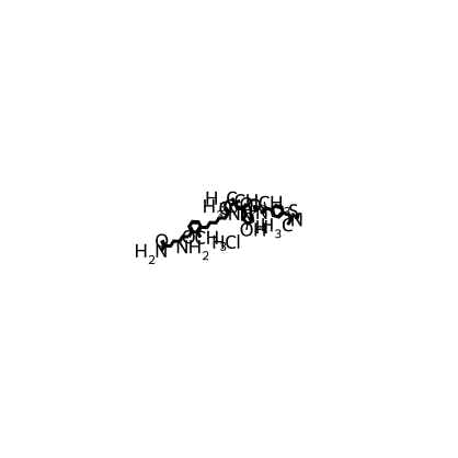 Cc1ncsc1-c1ccc([C@H](C)NC(=O)[C@@H]2C[C@@H](O)CN2C(=O)[C@@H](NC(=O)CCCCCc2cccc(OC[C@@H](N)CCC(N)=O)c2C)C(C)(C)C)cc1.Cl